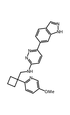 COc1ccc(C2(CNc3ccc(-c4ccc5cn[nH]c5c4)nn3)CCC2)nc1